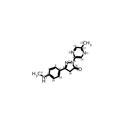 CNc1ccc(C2=NN(c3cnc(C)cn3)C(=O)C2)cc1